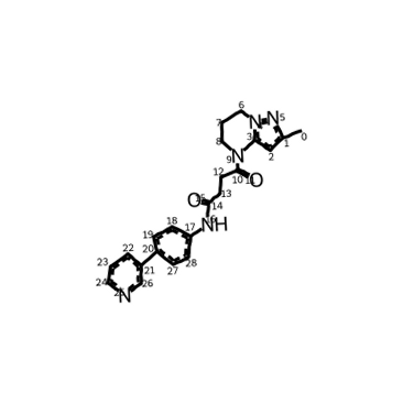 Cc1cc2n(n1)CCCN2C(=O)CCC(=O)Nc1ccc(-c2cccnc2)cc1